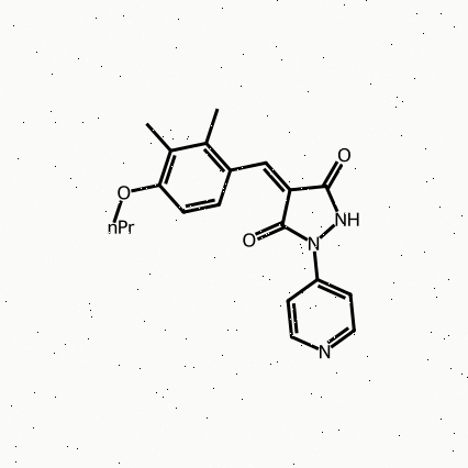 CCCOc1ccc(C=C2C(=O)NN(c3ccncc3)C2=O)c(C)c1C